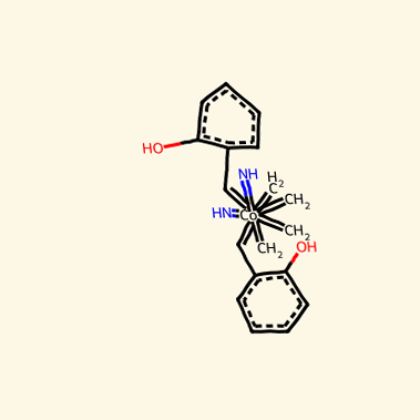 [CH2]=[Co](=[CH2])(=[CH2])(=[CH2])(=[NH])(=[NH])(=[CH]c1ccccc1O)=[CH]c1ccccc1O